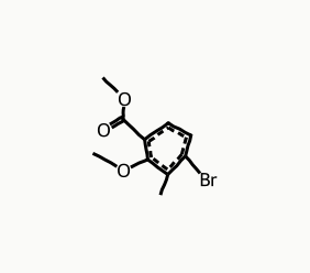 COC(=O)c1ccc(Br)c(C)c1OC